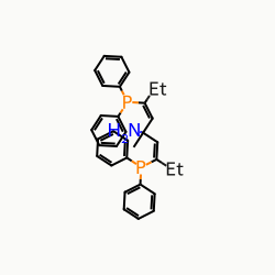 CC/C(=C/C(C)(N)/C=C(/CC)P(c1ccccc1)c1ccccc1)P(c1ccccc1)c1ccccc1